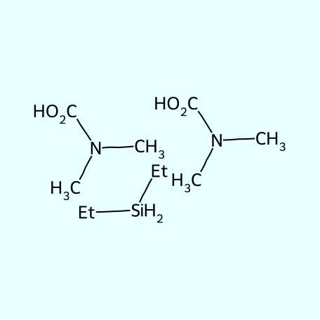 CC[SiH2]CC.CN(C)C(=O)O.CN(C)C(=O)O